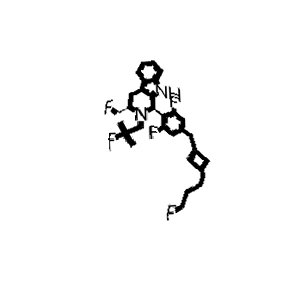 CC(C)(F)CN1[C@H](CF)Cc2c([nH]c3ccccc23)[C@H]1c1c(F)cc(CC2CC(CCCF)C2)cc1F